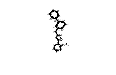 Nc1ncccc1C1CC(Cc2cccc(-c3ccccc3)c2)=NO1